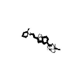 Cc1nc(-c2ccc3oc(CCN4CCC[C@H]4C)cc3c2)no1